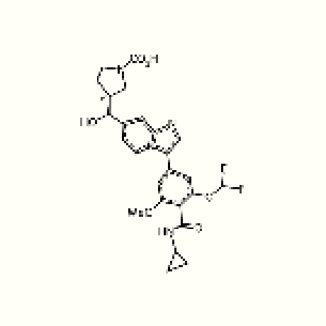 COc1cc(-c2cnc3cc(C(O)[C@H]4CCN(C(=O)O)C4)ccn23)cc(OC(F)F)c1C(=O)NC1CC1